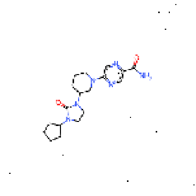 NC(=O)c1cnc(N2CCCC(N3CCN(C4CCCC4)C3=O)C2)cn1